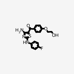 Nc1nc(Nc2ccc(F)cc2)sc1C(=O)c1ccc(OCCO)cc1